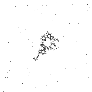 CC#Cc1ncc2c(N3C[C@@H]4C[C@H]3C(=O)N(C)C[C@H](OC)Cn3c(C)nc5cc(F)cc(c53)-c3cccc(n3)N4)nccn12